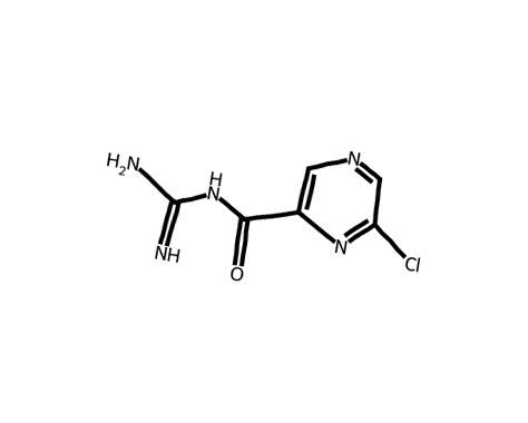 N=C(N)NC(=O)c1cncc(Cl)n1